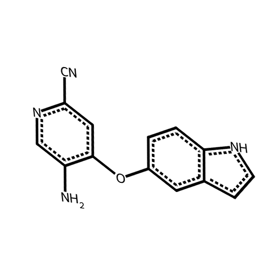 N#Cc1cc(Oc2ccc3[nH]ccc3c2)c(N)cn1